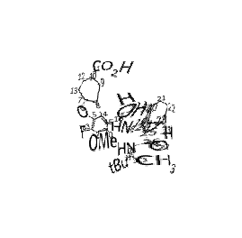 COc1cc(F)c(O[C@H]2CC[C@@H](C(=O)O)CC2)cc1C(O)N[C@@H]1[C@H]2CC[C@H](C2)[C@@H]1C(=O)N[C@H](C)C(C)(C)C